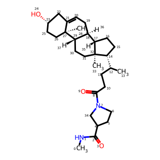 CNC(=O)C1CCN(C(=O)CCC(C)[C@H]2CC[C@H]3[C@@H]4CC=C5C[C@@H](O)CC[C@]5(C)[C@H]4CC[C@]23C)C1